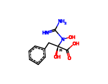 N=C(N)N(O)[C@@](O)(Cc1ccccc1)C(=O)O